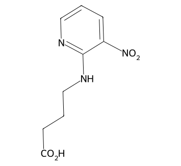 O=C(O)CCCNc1ncccc1[N+](=O)[O-]